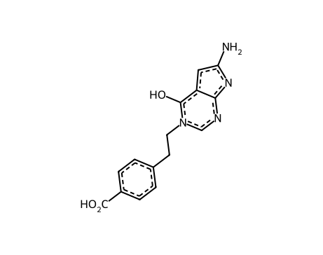 Nc1cc2c(O)n(CCc3ccc(C(=O)O)cc3)cnc-2n1